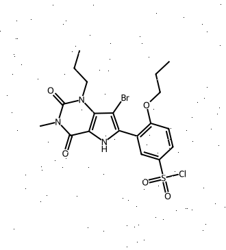 CCCOc1ccc(S(=O)(=O)Cl)cc1-c1[nH]c2c(=O)n(C)c(=O)n(CCC)c2c1Br